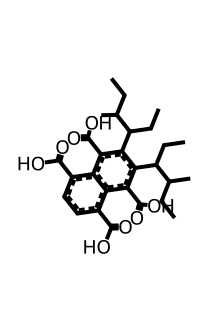 CCC(C)C(CC)c1c(C(CC)C(C)CC)c(C(=O)O)c2c(C(=O)O)ccc(C(=O)O)c2c1C(=O)O